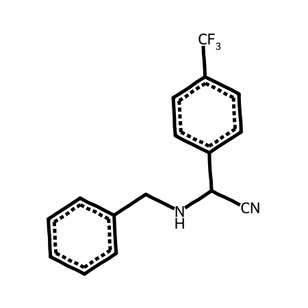 N#CC(NCc1ccccc1)c1ccc(C(F)(F)F)cc1